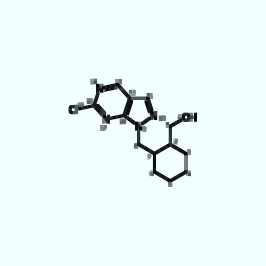 OCC1CCCCC1Cn1ncc2cnc(Cl)nc21